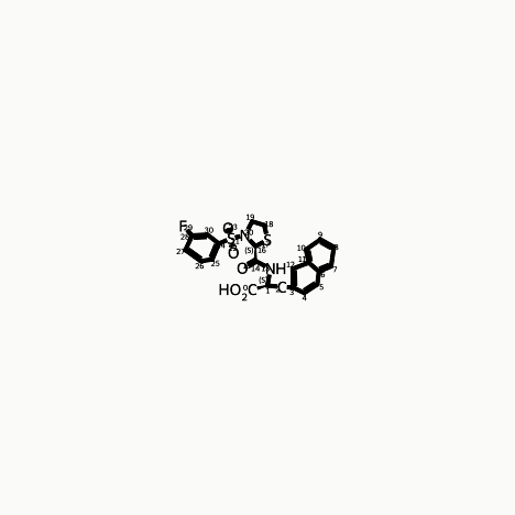 O=C(O)[C@H](Cc1ccc2ccccc2c1)NC(=O)[C@@H]1SCCN1S(=O)(=O)c1cccc(F)c1